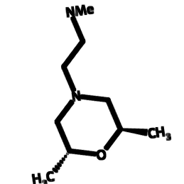 CNCCN1C[C@@H](C)O[C@H](C)C1